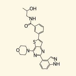 CC(O)CNC(=O)c1cccc(-c2cc3nc(-c4cccc5[nH]ncc45)nc(N4CCOCC4)c3s2)c1